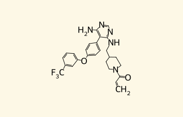 C=CC(=O)N1CCC(CNc2ncnc(N)c2-c2ccc(Oc3cccc(C(F)(F)F)c3)cc2)CC1